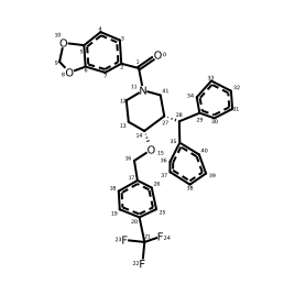 O=C(c1ccc2c(c1)OCO2)N1CC[C@@H](OCc2ccc(C(F)(F)F)cc2)[C@@H](C(c2ccccc2)c2ccccc2)C1